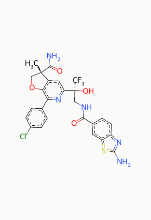 C[C@]1(C(N)=O)COc2c1cc([C@@](O)(CNC(=O)c1ccc3nc(N)sc3c1)C(F)(F)F)nc2-c1ccc(Cl)cc1